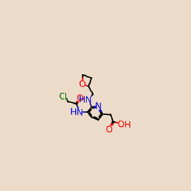 O=C(O)Cc1ccc(NC(=O)CCl)c(NCC2CCO2)n1